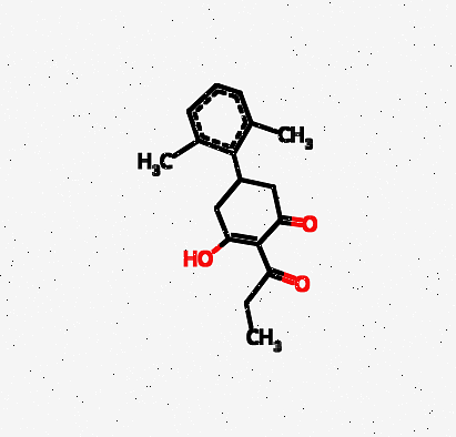 CCC(=O)C1=C(O)CC(c2c(C)cccc2C)CC1=O